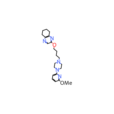 COc1cccc(N2CCN(CCCCOc3cnc4c(n3)CCCC4)CC2)n1